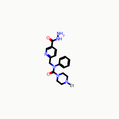 CCN1CCN(C(=O)N(Cc2ccc(C(=O)NN)cn2)c2ccccc2)CC1